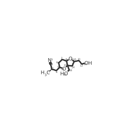 C[C@@H](C#N)CC1CCC2OC(CCO)CC2(CO)O1